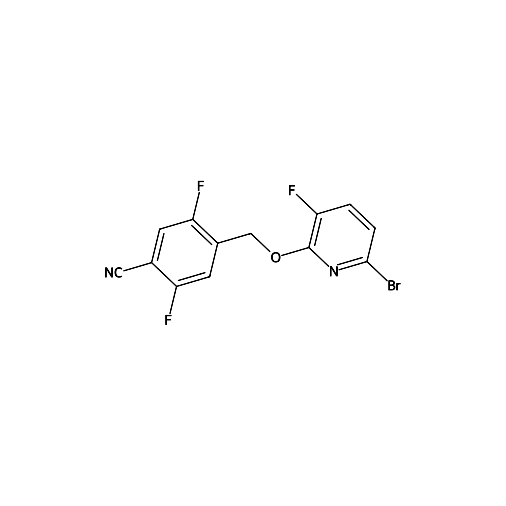 N#Cc1cc(F)c(COc2nc(Br)ccc2F)cc1F